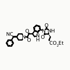 CCOC(=O)CC[C@@H]1NC(=O)N(c2cccc3c2NCC3C(=O)C(=O)N2CCC(=C(C#N)c3ccccc3)CC2)C1=O